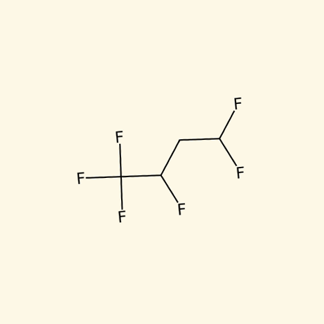 FC(F)CC(F)C(F)(F)F